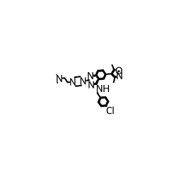 Cc1noc(C)c1-c1ccc2nc(N3CCN(CCN(C)C)CC3)nc(NCc3ccc(Cl)cc3)c2c1